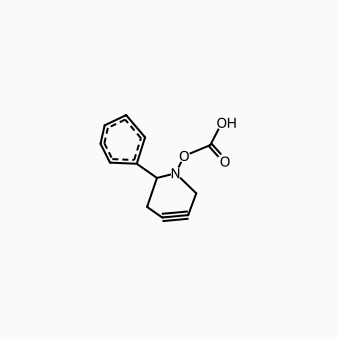 O=C(O)ON1CC#CCC1c1ccccc1